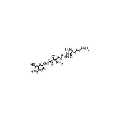 NCCCC[C@H](N)C(=O)NCCCC[C@H](N)C(=O)NCCOc1ccc(CS)c(CS)c1